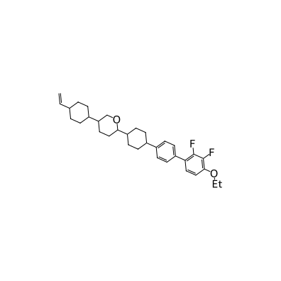 C=CC1CCC(C2CCC(C3CCC(c4ccc(-c5ccc(OCC)c(F)c5F)cc4)CC3)OC2)CC1